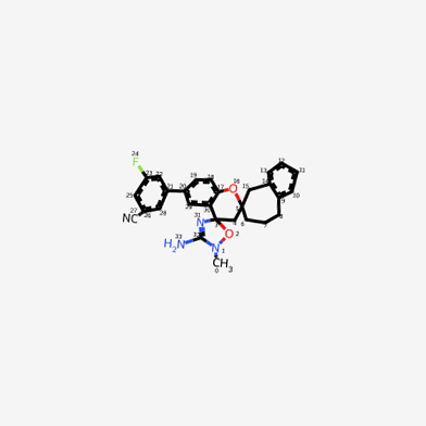 CN1OC2(CC3(CCCc4ccccc4C3)Oc3ccc(-c4cc(F)cc(C#N)c4)cc32)N=C1N